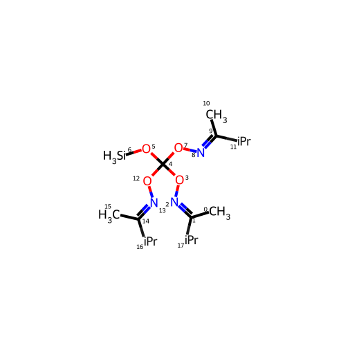 CC(=NOC(O[SiH3])(ON=C(C)C(C)C)ON=C(C)C(C)C)C(C)C